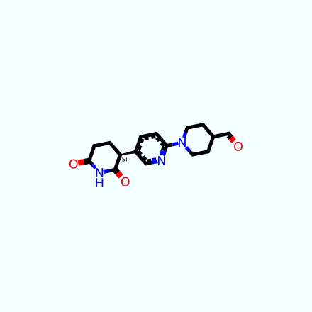 O=CC1CCN(c2ccc([C@@H]3CCC(=O)NC3=O)cn2)CC1